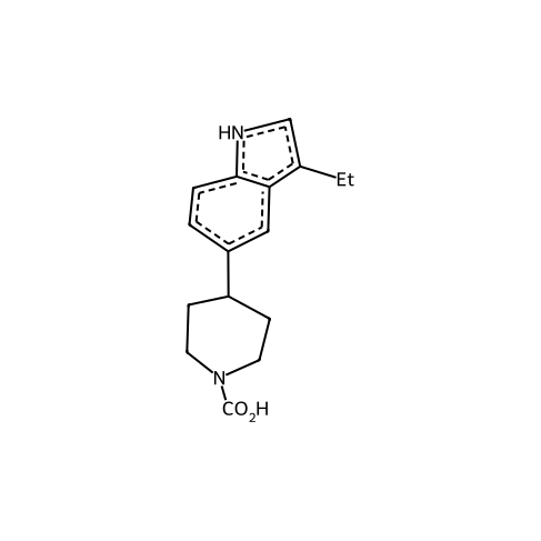 CCc1c[nH]c2ccc(C3CCN(C(=O)O)CC3)cc12